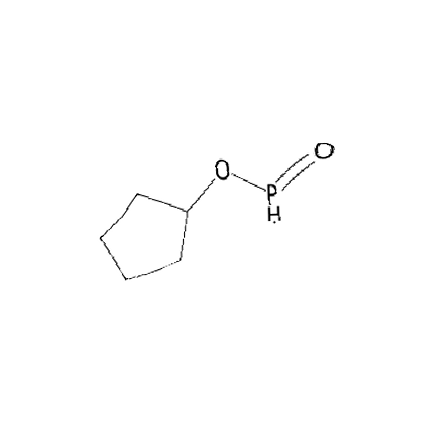 O=[PH]OC1CCCC1